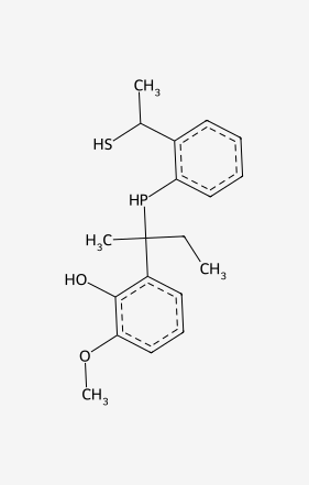 CCC(C)(Pc1ccccc1C(C)S)c1cccc(OC)c1O